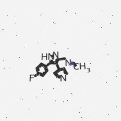 C/C=N/Cc1n[nH]c(-c2ccc(F)cc2)c1-c1ccncc1